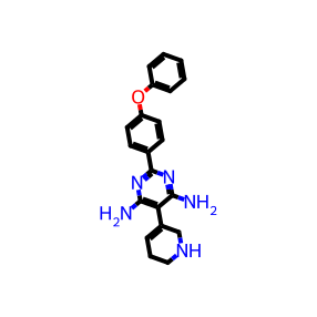 Nc1nc(-c2ccc(Oc3ccccc3)cc2)nc(N)c1C1=CCCNC1